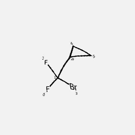 FC(F)(Br)C1CC1